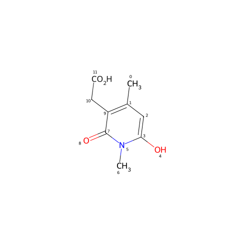 Cc1cc(O)n(C)c(=O)c1CC(=O)O